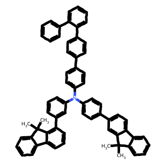 CC1(C)c2ccccc2-c2ccc(-c3ccc(N(c4ccc(-c5ccc(-c6ccccc6-c6ccccc6)cc5)cc4)c4cccc(-c5cccc6c5C(C)(C)c5ccccc5-6)c4)cc3)cc21